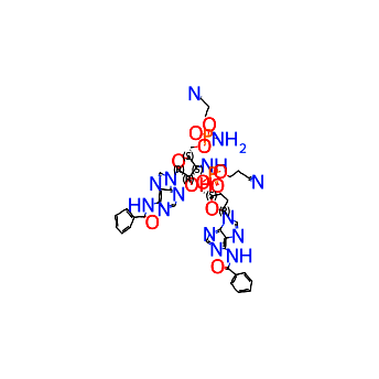 N#CCCOP(N)(=O)OC[C@H]1O[C@@H](n2cnc3c(NC(=O)c4ccccc4)ncnc32)[C@H](O)[C@@H]1NP(=O)(OCCC#N)OC[C@@H]1CC[C@H](n2cnc3c(NC(=O)c4ccccc4)ncnc32)O1